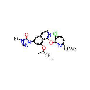 CCn1cnn(-c2cc(OC(C)C(F)(F)F)c3c(Oc4nc(OC)ccc4Cl)nccc3c2)c1=O